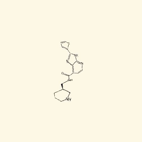 O=C(NC[C@@H]1CCCNC1)c1ccnc2[nH]c(-c3cccs3)nc12